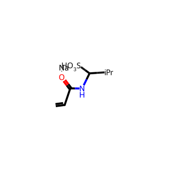 C=CC(=O)NC(C(C)C)S(=O)(=O)O.[Na]